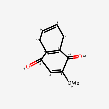 COC1=CC(=O)C2=C(CC=CC2)C1=O